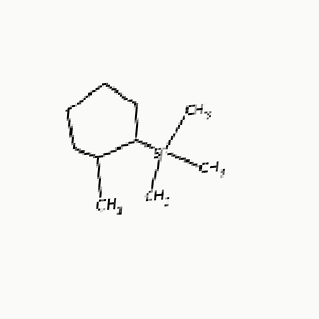 CC1CCCCC1[Si](C)(C)C